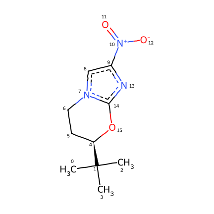 CC(C)(C)[C@H]1CCn2cc([N+](=O)[O-])nc2O1